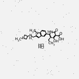 CCc1c(-c2ccc3c(c2)cc(CNC2CN(C)C2)n3C)[nH]c(=O)c(C(=O)O)c1O.Cl.Cl